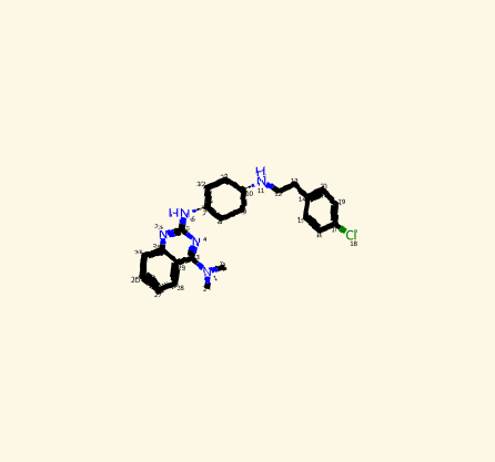 CN(C)c1nc(N[C@H]2CC[C@@H](NCCc3ccc(Cl)cc3)CC2)nc2ccccc12